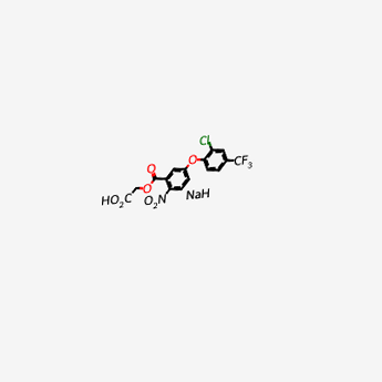 O=C(O)COC(=O)c1cc(Oc2ccc(C(F)(F)F)cc2Cl)ccc1[N+](=O)[O-].[NaH]